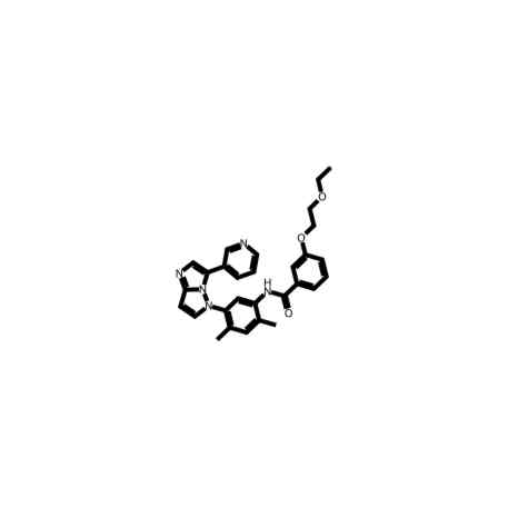 CCOCCOc1cccc(C(=O)Nc2cc(-n3ccc4ncc(-c5cccnc5)n43)c(C)cc2C)c1